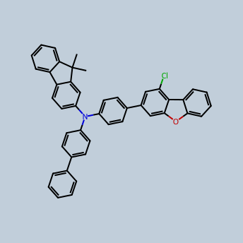 CC1(C)c2ccccc2-c2ccc(N(c3ccc(-c4ccccc4)cc3)c3ccc(-c4cc(Cl)c5c(c4)oc4ccccc45)cc3)cc21